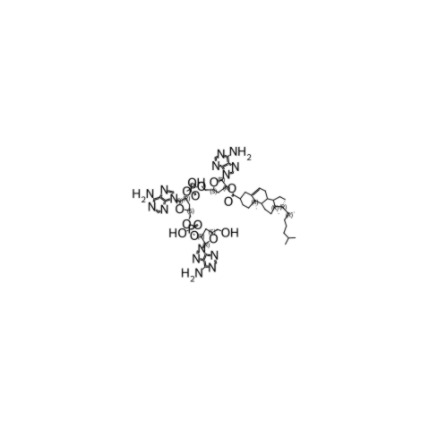 CC(C)CCC[C@@H](C)[C@H]1CCC2C3CC=C4CC(C(=O)O[C@@H]5C[C@@H](COP(=O)(O)O[C@@H]6C[C@@H](COP(=O)(O)O[C@@H]7C[C@@H](CO)O[C@H]7n7cnc8c(N)ncnc87)O[C@H]6n6cnc7c(N)ncnc76)O[C@H]5n5cnc6c(N)ncnc65)CC[C@]4(C)C3CC[C@@]21C